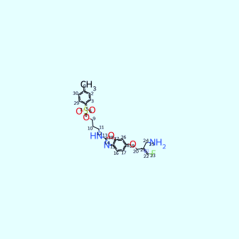 Cc1ccc(S(=O)(=O)OCCCNc2nc3ccc(OC/C(=C/F)CN)cc3o2)cc1